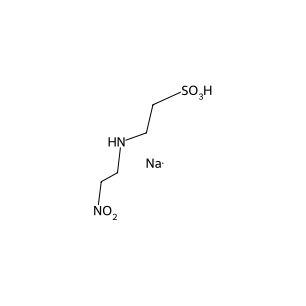 O=[N+]([O-])CCNCCS(=O)(=O)O.[Na]